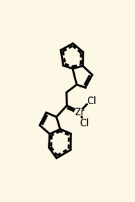 [Cl][Zr]([Cl])=[C](CC1C=Cc2ccccc21)C1C=Cc2ccccc21